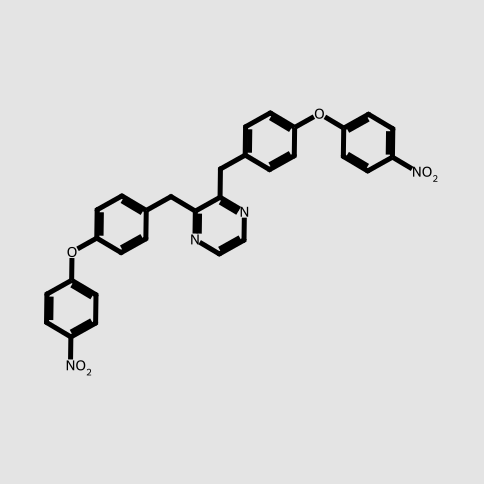 O=[N+]([O-])c1ccc(Oc2ccc(Cc3nccnc3Cc3ccc(Oc4ccc([N+](=O)[O-])cc4)cc3)cc2)cc1